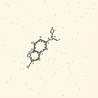 [CH2]c1cc2cc([S+](C)[O-])ccc2o1